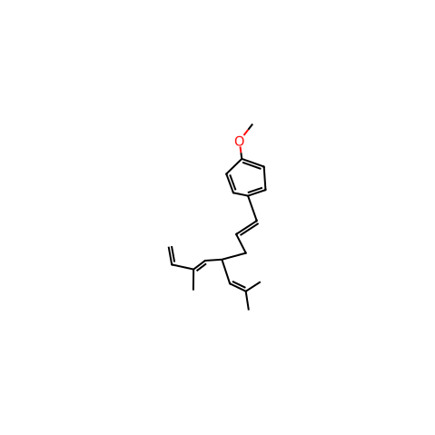 C=C/C(C)=C/C(C=C(C)C)C/C=C/c1ccc(OC)cc1